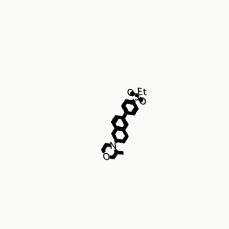 CCS(=O)(=O)c1ccc(-c2ccc3c(c2)CCC(N2CCOCC2C)C3)cc1